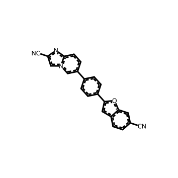 N#Cc1ccc2cc(-c3ccc(-c4ccc5nc(C#N)cn5c4)cc3)oc2c1